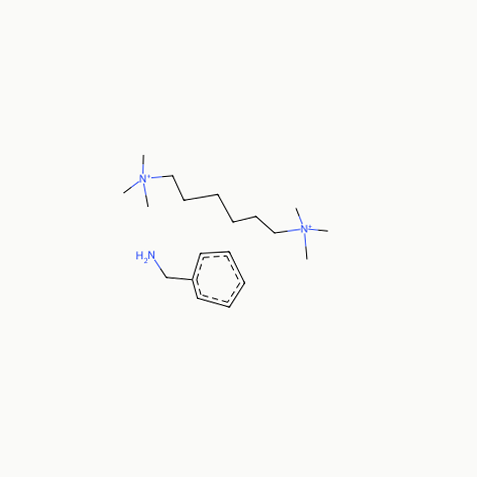 C[N+](C)(C)CCCCCC[N+](C)(C)C.NCc1ccccc1